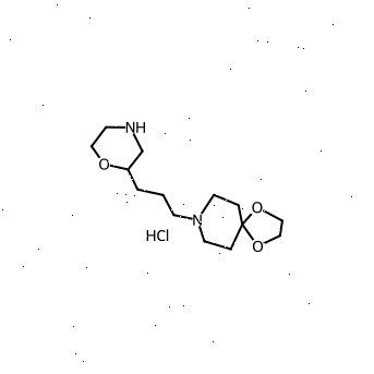 C(CC1CNCCO1)CN1CCC2(CC1)OCCO2.Cl